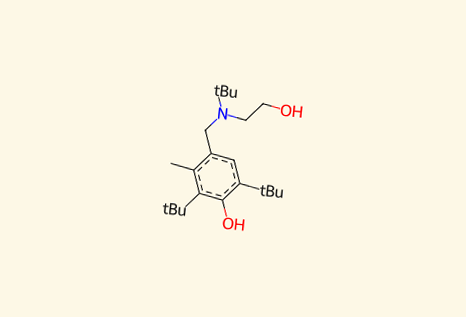 Cc1c(CN(CCO)C(C)(C)C)cc(C(C)(C)C)c(O)c1C(C)(C)C